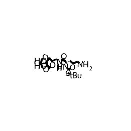 CC(C)(C)OC(=O)N[C@@H](CCCN)C(=O)NCC1OC2OCCCOC1C(O)C2O